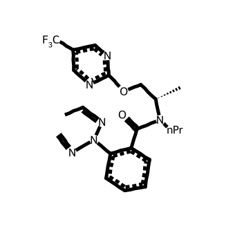 C=NN(/N=C\C)c1ccccc1C(=O)N(CCC)[C@@H](C)COc1ncc(C(F)(F)F)cn1